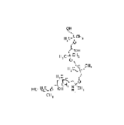 CCC(CC)(CCOC(C)(N)CCOC(C)(C)CC(O)COC(C)(C)CCO)OCCOC(C)(C)CC(O)COC(C)(C)CCO